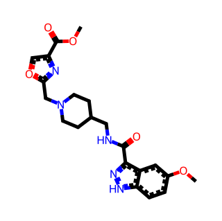 COC(=O)c1coc(CN2CCC(CNC(=O)c3n[nH]c4ccc(OC)cc34)CC2)n1